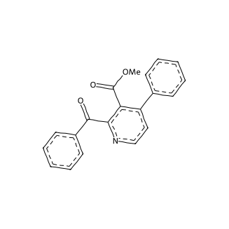 COC(=O)c1c(-c2ccccc2)ccnc1C(=O)c1ccccc1